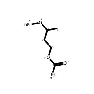 CCCOC(C)CCOC(=O)CC